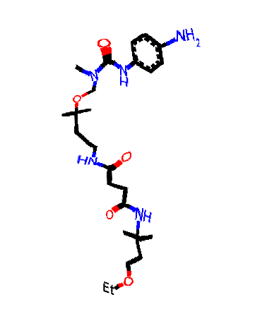 CCOCCC(C)(C)NC(=O)CCC(=O)NCCC(C)(C)OCN(C)C(=O)Nc1ccc(N)cc1